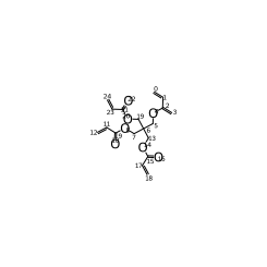 C=CC(=C)OCC(COC(=O)C=C)(COC(=O)C=C)COC(=O)C=C